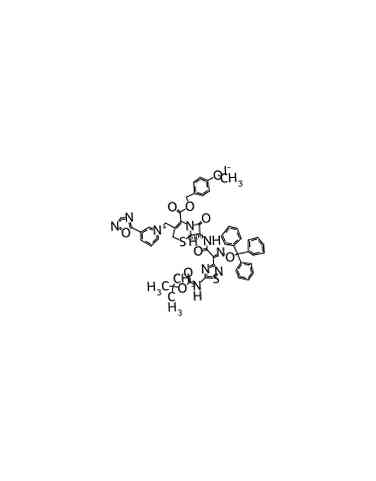 COc1ccc(COC(=O)C2=C(C[n+]3cccc(-c4ncno4)c3)CS[C@H]3[C@H](NC(=O)C(=NOC(c4ccccc4)(c4ccccc4)c4ccccc4)c4nsc(NC(=O)OC(C)(C)C)n4)C(=O)N23)cc1.[I-]